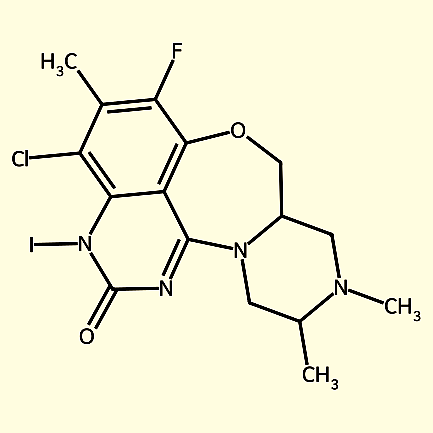 Cc1c(F)c2c3c(nc(=O)n(I)c3c1Cl)N1CC(C)N(C)CC1CO2